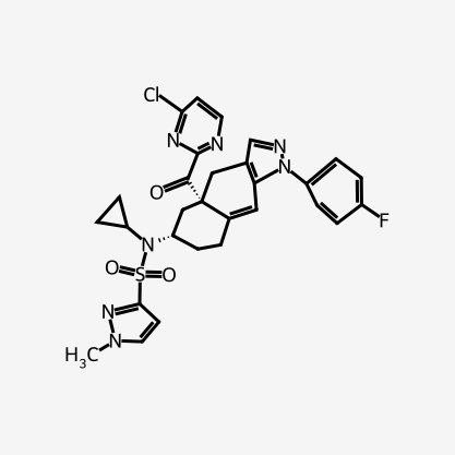 Cn1ccc(S(=O)(=O)N(C2CC2)[C@H]2CCC3=Cc4c(cnn4-c4ccc(F)cc4)C[C@]3(C(=O)c3nccc(Cl)n3)C2)n1